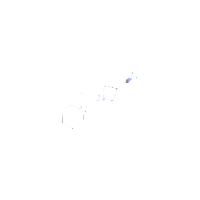 N#CC1CN(S(=O)(=O)N2CCCCC2)C1